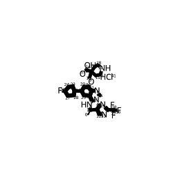 C[C@@H](Nc1ncnc2c(OCC3(C(=O)O)CCNCC3)cc(-c3ccc(F)cc3)cc12)c1cnc(C(F)(F)F)nc1.Cl